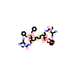 CCN1C(=O)/C(=N/c2cc3c(s2)-c2sc4c5c(sc4c2OC3(C(=O)OCc2ccccc2)C(=O)OCc2ccccc2)-c2sc(/N=C3\SC(=C(C#N)C#N)N(CC)C3=O)cc2C(C(=O)OCc2ccccc2)(C(=O)OCc2ccccc2)O5)SC1=C(C#N)C#N